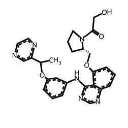 CC(Oc1cccc(Nc2ncnc3cccc(OC[C@@H]4CCCN4C(=O)CO)c23)c1)c1cnccn1